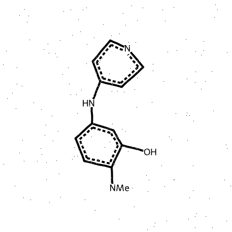 CNc1ccc(Nc2ccncc2)cc1O